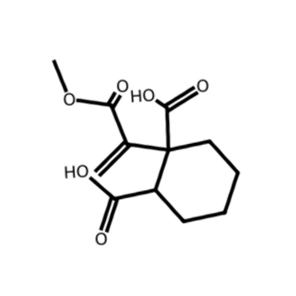 C=C(C(=O)OC)C1(C(=O)O)CCCCC1C(=O)O